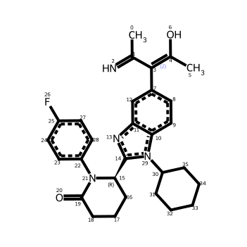 CC(=N)/C(=C(/C)O)c1ccc2c(c1)nc([C@H]1CCCC(=O)N1c1ccc(F)cc1)n2C1CCCCC1